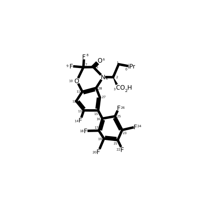 CC(C)C[C@@H](C(=O)O)N1C(=O)C(F)(F)Oc2cc(F)c(-c3c(F)c(F)c(F)c(F)c3F)cc21